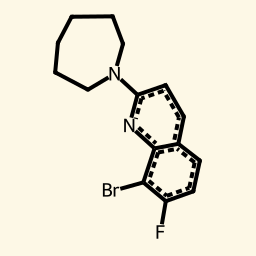 Fc1ccc2ccc(N3CCCCCC3)nc2c1Br